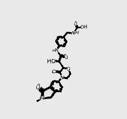 CN1Cc2ccc(N3CCOC(C(O)C(=O)Nc4ccc(CNC(=O)O)cc4)C3=O)cc2C1=O